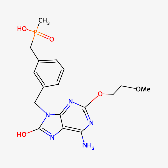 COCCOc1nc(N)c2nc(O)n(Cc3cccc(CP(C)(=O)O)c3)c2n1